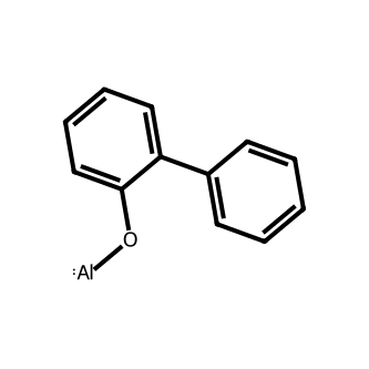 [Al][O]c1ccccc1-c1ccccc1